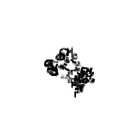 COc1ccc2c(c1[N+](=O)[O-])CCN(C(=O)C(F)(F)F)C2(C)C